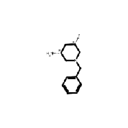 N[C@@H]1C[C@H](F)CN(Cc2ccccc2)C1